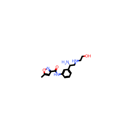 Cc1cc(C(=O)Nc2cccc([C@H](N)CNCCO)c2)no1